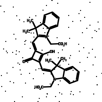 CC1(C)C(=CC2=C(O)C(=CC3=[N+](CC(=O)O)c4ccccc4C3(C)C)C2=O)N(CC(=O)O)c2ccccc21